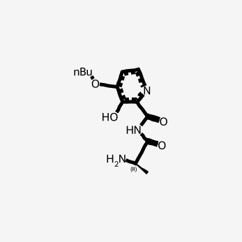 CCCCOc1ccnc(C(=O)NC(=O)[C@@H](C)N)c1O